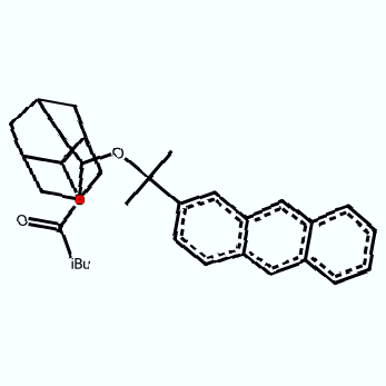 CCC(C)C(=O)OC1C2CC3CC1CC(C2)C3OC(C)(C)c1ccc2cc3ccccc3cc2c1